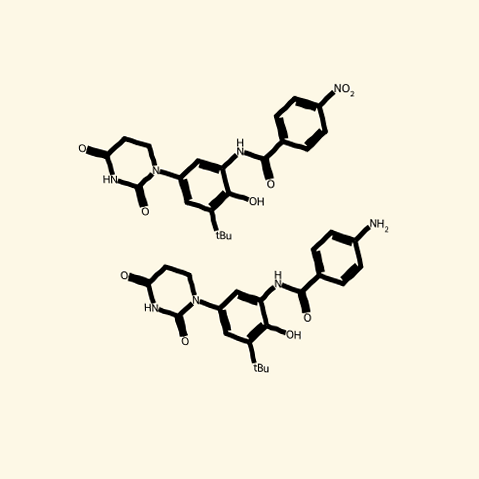 CC(C)(C)c1cc(N2CCC(=O)NC2=O)cc(NC(=O)c2ccc(N)cc2)c1O.CC(C)(C)c1cc(N2CCC(=O)NC2=O)cc(NC(=O)c2ccc([N+](=O)[O-])cc2)c1O